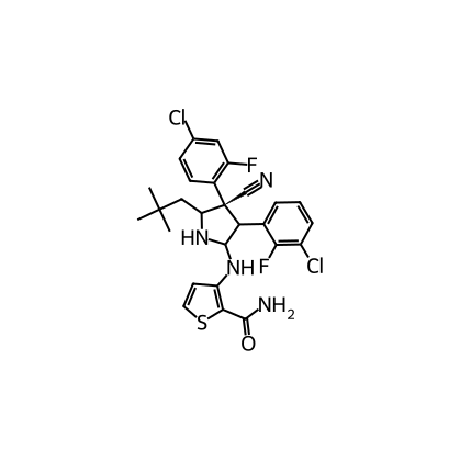 CC(C)(C)CC1NC(Nc2ccsc2C(N)=O)C(c2cccc(Cl)c2F)[C@@]1(C#N)c1ccc(Cl)cc1F